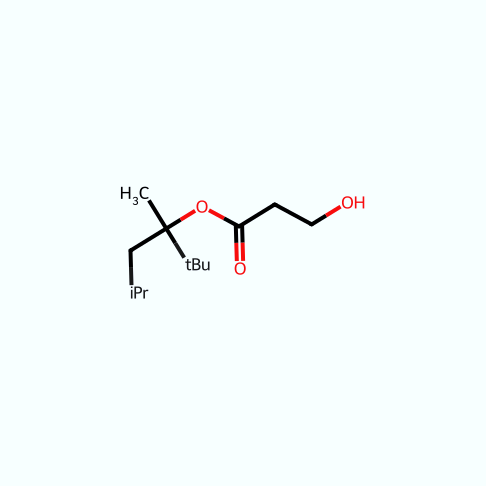 CC(C)CC(C)(OC(=O)CCO)C(C)(C)C